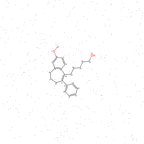 COc1ccc2c(c1)CCCC(c1ccccc1)=C2CCCCCO